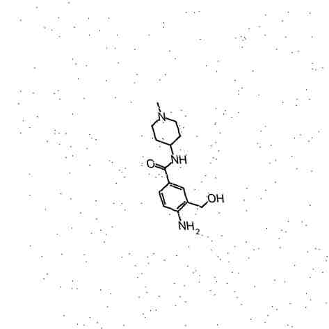 CN1CCC(NC(=O)c2ccc(N)c(CO)c2)CC1